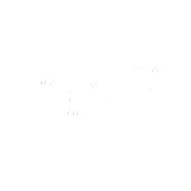 CC(C)OCC1COC1